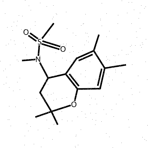 Cc1cc2c(cc1C)C(N(C)S(C)(=O)=O)CC(C)(C)O2